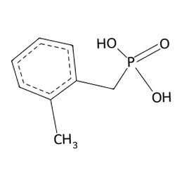 Cc1ccccc1CP(=O)(O)O